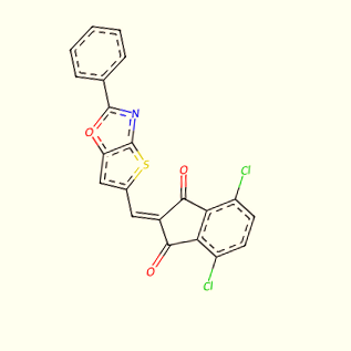 O=C1C(=Cc2cc3oc(-c4ccccc4)nc3s2)C(=O)c2c(Cl)ccc(Cl)c21